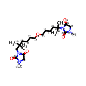 CCN1CC(=O)N(CC(C)(C)CCCCOCCCCC(C)(C)N2C(=O)CN(CC)C2=O)C1=O